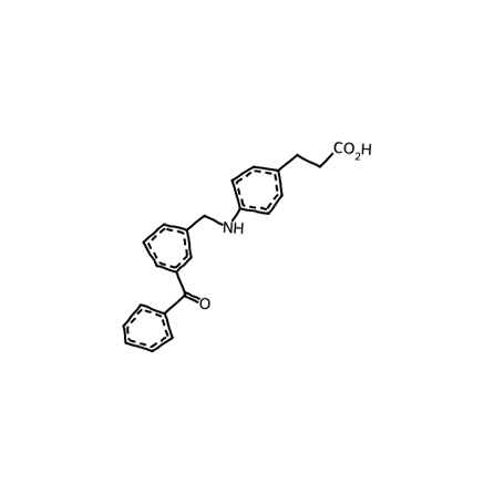 O=C(O)CCc1ccc(NCc2cccc(C(=O)c3ccccc3)c2)cc1